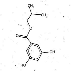 CC(C)COC(=O)c1cc(O)cc(O)c1